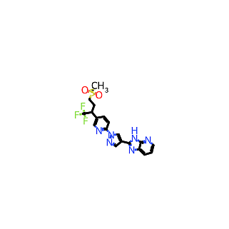 CS(=O)(=O)CCC(c1ccc(-n2cc(-c3nc4cccnc4[nH]3)cn2)nc1)C(F)(F)F